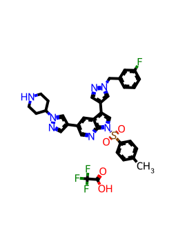 Cc1ccc(S(=O)(=O)n2cc(-c3cnn(Cc4cccc(F)c4)c3)c3cc(-c4cnn(C5CCNCC5)c4)cnc32)cc1.O=C(O)C(F)(F)F